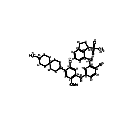 COc1cc(N2CCC3(CCN(C)CC3)CC2)c(Cl)cc1Nc1ncc(Br)c(Nc2cccc3c2N(S(C)(=O)=O)CC3)n1